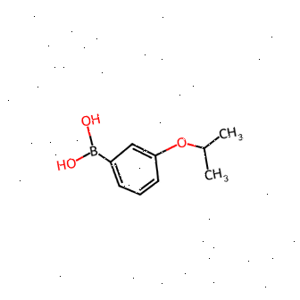 CC(C)Oc1cccc(B(O)O)c1